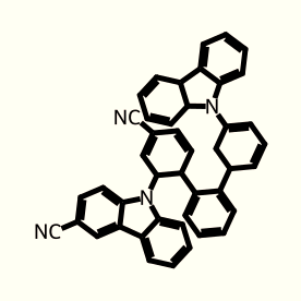 N#CC1=CC(n2c3ccccc3c3cc(C#N)ccc32)C(c2ccccc2C2C=CC=C(N3c4ccccc4C4C=CC=CC43)C2)C=C1